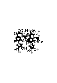 COc1c(N2CC(O)C(N(C)C)C2)c(F)cc2c(=O)c(C(=O)O)cn(C3CC3)c12.COc1c(N2CC(O)C(N(C)C)C2)c(F)cc2c(=O)c(C(=O)O)cn(C3CC3)c12.O